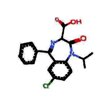 CC(C)N1C(=O)C(C(=O)O)N=C(c2ccccc2)c2cc(Cl)ccc21